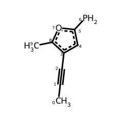 CC#Cc1cc(P)oc1C